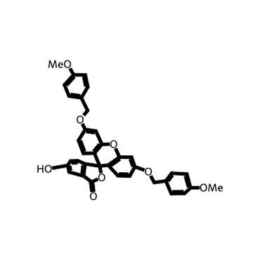 COc1ccc(COc2ccc3c(c2)Oc2cc(OCc4ccc(OC)cc4)ccc2C32OC(=O)c3cc(O)ccc32)cc1